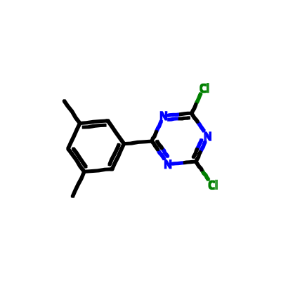 Cc1cc(C)cc(-c2nc(Cl)nc(Cl)n2)c1